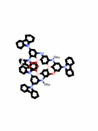 CSN1c2cc3c(cc2B2c4cc5c(cc4Oc4cc(-n6c7ccccc7c7ccccc76)cc1c42)N(SC)c1cc(-n2c4ccccc4c4ccccc42)cc2c1B5c1cccc4c5ccccc5n-2c14)B1c2c(cc(-n4c5ccccc5c5ccccc54)cc2-n2c4ccccc4c4cccc1c42)N3